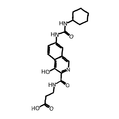 O=C(O)CCNC(=O)c1ncc2cc(NC(=O)NC3CCCCC3)ccc2c1O